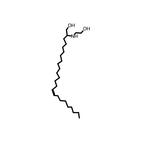 CCCCCCCC/C=C\CCCCCCCCCCCCC(CO)NCCO